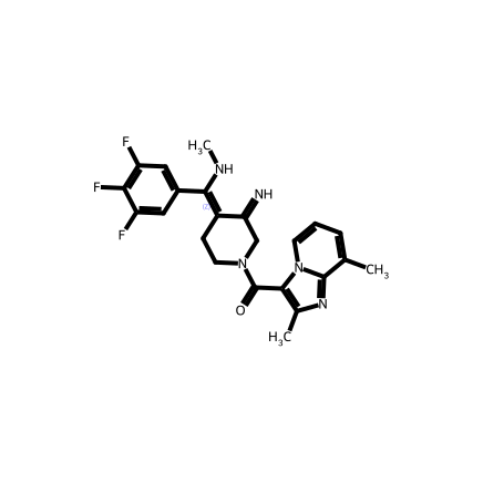 CN/C(=C1/CCN(C(=O)c2c(C)nc3c(C)cccn23)CC1=N)c1cc(F)c(F)c(F)c1